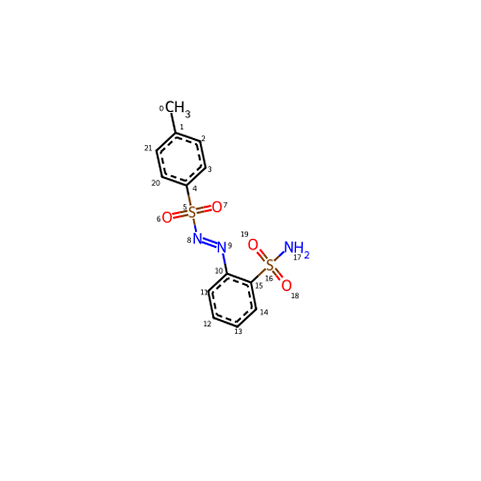 Cc1ccc(S(=O)(=O)/N=N/c2ccccc2S(N)(=O)=O)cc1